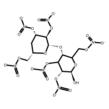 O=[N+]([O-])OCC1O[C@@H](O)[C@H](O[N+](=O)[O-])C(O[N+](=O)[O-])[C@@H]1O[C@@H]1O[C@H](CO[N+](=O)[O-])C[C@H](O[N+](=O)[O-])[C@H]1O[N+](=O)[O-]